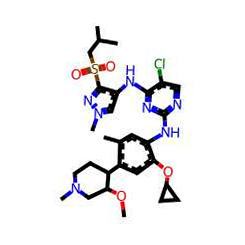 COC1CN(C)CCC1c1cc(OC2CC2)c(Nc2ncc(Cl)c(Nc3cn(C)nc3S(=O)(=O)CC(C)C)n2)cc1C